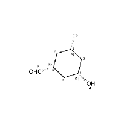 C[C@@H]1C[C@H](O)C[C@H](C=O)C1